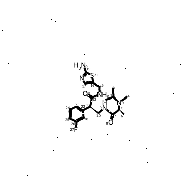 CC(C)N(C)[C@@H](C)C(=O)NC[C@H](C(=O)NCc1cnc(N)s1)c1cccc(F)c1